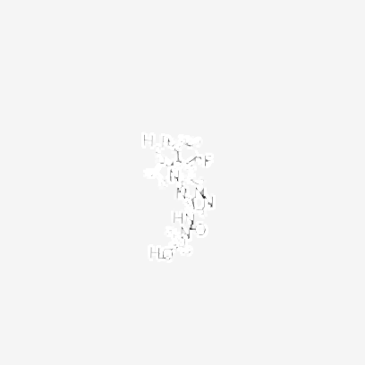 O=C(Nc1cnn2ccc(N3CCCC3c3cc(F)ccc3P)nc12)N1CC(O)C1